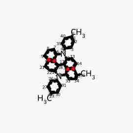 Cc1ccc(N(c2ccccc2)c2ccccc2-c2ccccc2N(c2ccc(C)cc2)c2ccc(C)cc2)cc1